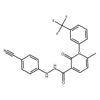 Cc1ccc(C(=O)NNc2ccc(C#N)cc2)c(=O)n1-c1cccc(C(F)(F)F)c1